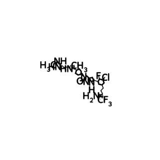 CC(=N)NCCCN[C@@H](C)c1ccc(-n2cc3cc(-c4cc(CCC[C@@H](N)C(F)(F)F)cc(Cl)c4F)[nH]c3nc2=O)cc1